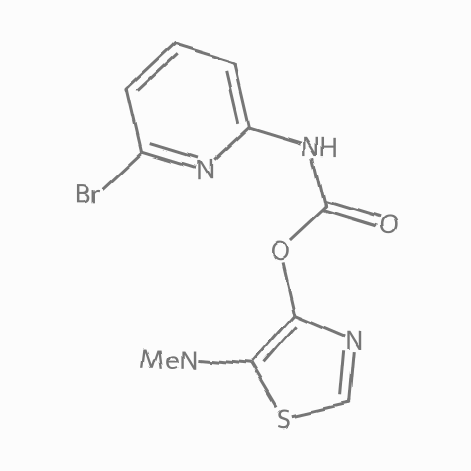 CNc1scnc1OC(=O)Nc1cccc(Br)n1